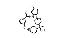 CC(O)(C1CCCNCC1)C1CCN(c2ccc(Cl)cc2NC(=O)c2cccc(Cl)c2)CC1